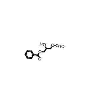 O=[C]OCC(O)COC(=O)c1ccccc1